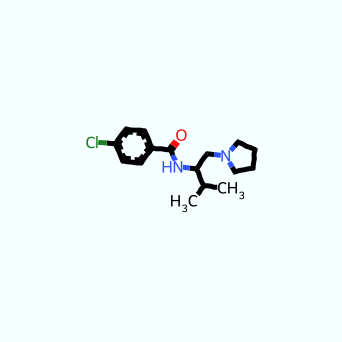 CC(C)C(CN1CCCC1)NC(=O)c1ccc(Cl)cc1